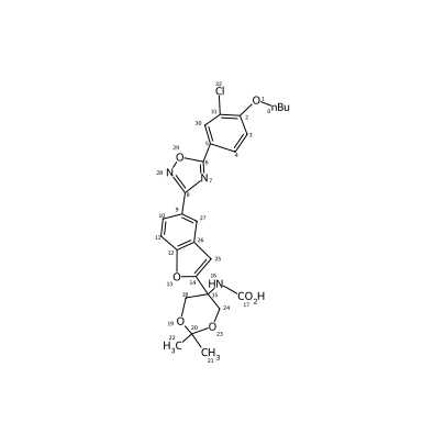 CCCCOc1ccc(-c2nc(-c3ccc4oc(C5(NC(=O)O)COC(C)(C)OC5)cc4c3)no2)cc1Cl